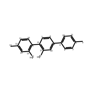 Cc1ccc(-c2ccc(-c3ccc(C)cc3F)c(F)c2)cc1